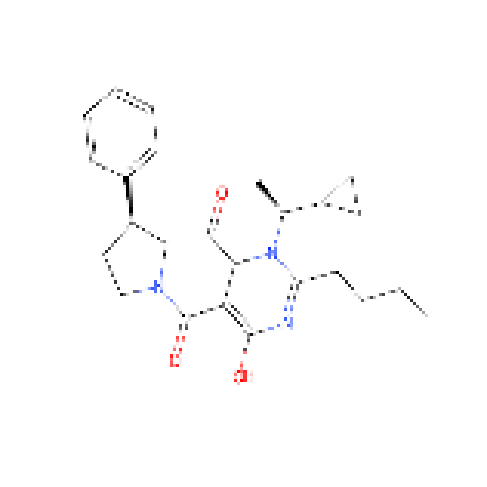 CCCCC1=NC(O)=C(C(=O)N2CC[C@@H](c3ccccc3)C2)C(C=O)N1[C@@H](C)C1CC1